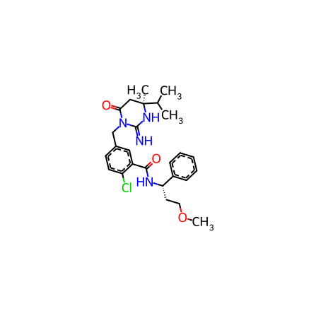 COCC[C@H](NC(=O)c1cc(CN2C(=N)N[C@](C)(C(C)C)CC2=O)ccc1Cl)c1ccccc1